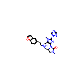 Cc1c(N2C(=O)N(C)CC2CNCCc2ccc3occc3c2)nc(-n2cncn2)n1C